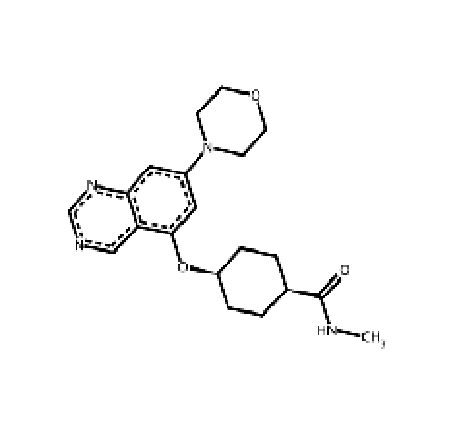 CNC(=O)[C@H]1CC[C@@H](Oc2cc(N3CCOCC3)cc3ncncc23)CC1